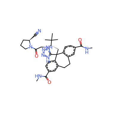 CNC(=O)c1ccc2c(c1)CCc1cc(C(=O)NC)ccc1C2(C[C@H](NCC(=O)N1CCC[C@H]1C#N)C(C)(C)C)c1nnn[nH]1